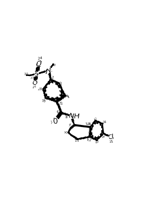 CN(c1ccc(C(=O)N[C@@H]2CCc3cc(Cl)ccc32)cc1)S(C)(=O)=O